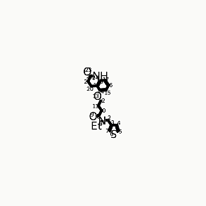 CCN(Cc1ccsc1)C(=O)CCCOc1cccc2c1CCC(=O)N2